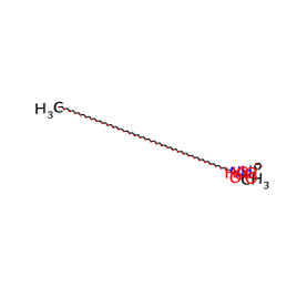 CCCCCCCCCCCCCCCCCCCCCCCCCCCCCCCCCCCCCCCCCCCCCCCCCCCCCCCCCCCCCCCCCNC(=O)OCC(C)(CO)C(=O)OCc1ccccc1